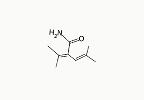 CC(C)=CC(C(N)=O)=C(C)C